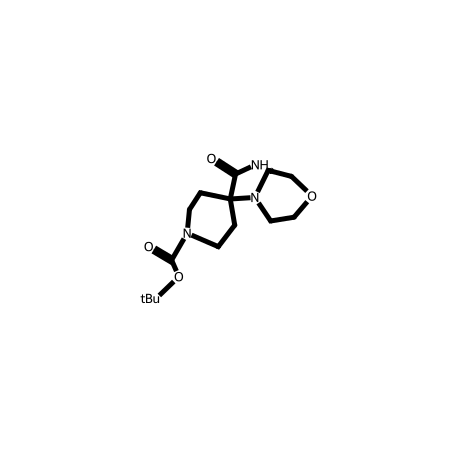 CC(C)(C)OC(=O)N1CCC(C(N)=O)(N2CCOCC2)CC1